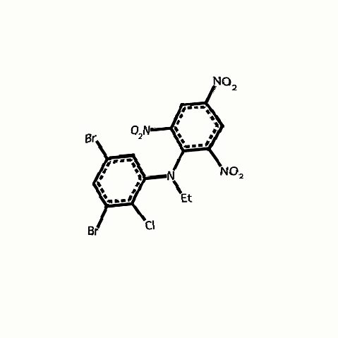 CCN(c1cc(Br)cc(Br)c1Cl)c1c([N+](=O)[O-])cc([N+](=O)[O-])cc1[N+](=O)[O-]